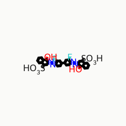 O=S(=O)(O)c1cc(/N=N/c2ccc(-c3ccc(/N=N/c4cc(S(=O)(=O)O)c5ccccc5c4O)c(F)c3)cc2F)c(O)c2ccccc12